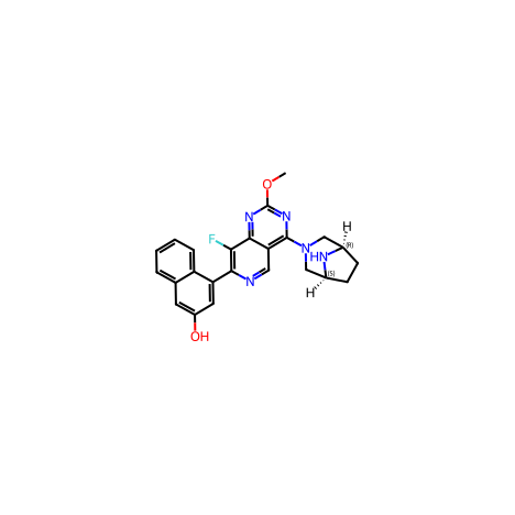 COc1nc(N2C[C@H]3CC[C@@H](C2)N3)c2cnc(-c3cc(O)cc4ccccc34)c(F)c2n1